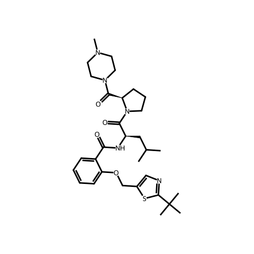 CC(C)C[C@@H](NC(=O)c1ccccc1OCc1cnc(C(C)(C)C)s1)C(=O)N1CCC[C@@H]1C(=O)N1CCN(C)CC1